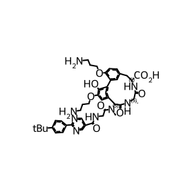 C[C@@H]1NC(=O)[C@@H](N(C)C(=O)CNC(=O)c2cnc(-c3ccc(C(C)(C)C)cc3)nc2)c2cc(OCCCN)c(O)c(c2)-c2cc(ccc2OCCCN)C[C@@H](C(=O)O)NC1=O